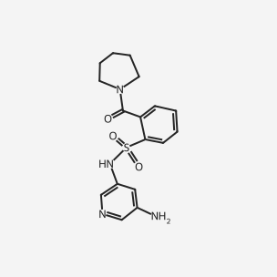 Nc1cncc(NS(=O)(=O)c2ccccc2C(=O)N2CCCCC2)c1